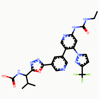 CCNC(=O)Nc1cc(-n2ccc(C(F)(F)F)n2)c(-c2cncc(-c3nnc(C(NC(=O)O)C(C)C)o3)c2)cn1